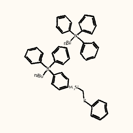 CCCC[B-](c1ccccc1)(c1ccccc1)c1ccccc1.CCCC[B-](c1ccccc1)(c1ccccc1)c1ccccc1.[SH2+]C[I+]c1ccccc1